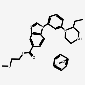 CCC1CNCCN1c1cccc(-n2cnc3cc(C(=O)OCCOC)ccc32)c1.c1cc2ccc1CO2